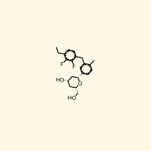 CCc1ccc(Cc2cc([C@H]3C[C@@H](O)C[C@@H](CO)O3)ccc2C)c(F)c1F